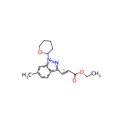 CCOC(=O)/C=C/c1nn(C2CCCCO2)c2cc(C)ccc12